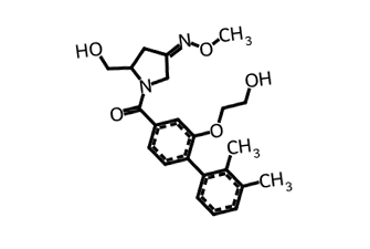 CO/N=C1/CC(CO)N(C(=O)c2ccc(-c3cccc(C)c3C)c(OCCO)c2)C1